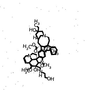 CCC1(O)C[C@H]2C[N@](CCc3c([nH]c4ccccc34)[C@@](C(=O)OC)(c3cc4c(cc3OC)N(C)C3[C@]45CCN4CC=C[C@](CC)(C45)[C@@H](O)[C@]3(O)C(=O)NCCO)C2)C1